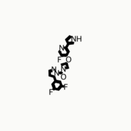 O=C(N1CC(Oc2cc(-c3cc[nH]c3)ncc2F)C1)N1N=CCC1c1cc(F)cc(F)c1